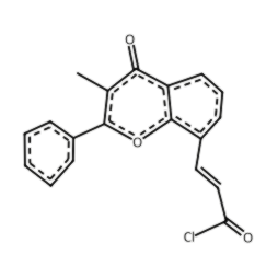 Cc1c(-c2ccccc2)oc2c(C=CC(=O)Cl)cccc2c1=O